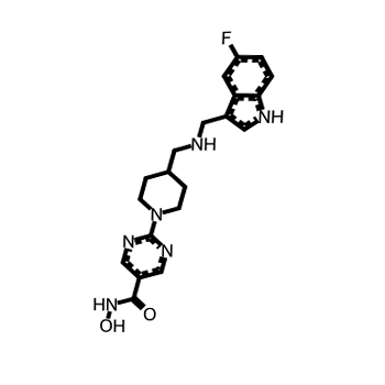 O=C(NO)c1cnc(N2CCC(CNCc3c[nH]c4ccc(F)cc34)CC2)nc1